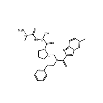 CN[C@@H](C)C(=O)N[C@H](C(=O)N1CCC[C@H]1CN(CCc1ccccc1)C(=O)c1cn2cc(F)ccc2n1)C(C)(C)C